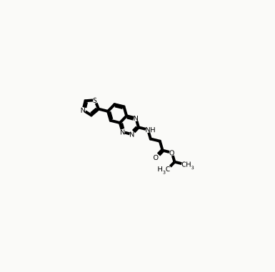 CC(C)OC(=O)CCNc1nnc2cc(-c3cncs3)ccc2n1